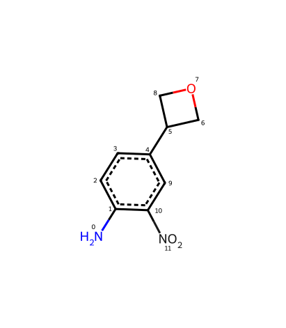 Nc1ccc(C2COC2)cc1[N+](=O)[O-]